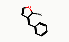 CC(=O)C1OC=CC1=Cc1ccccc1